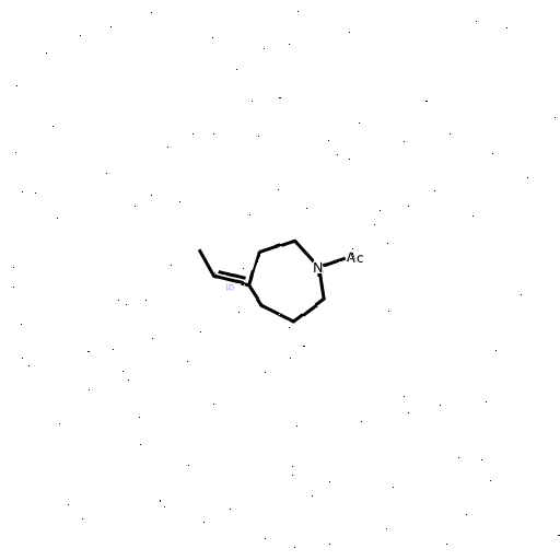 C/C=C1/CCCN(C(C)=O)CC1